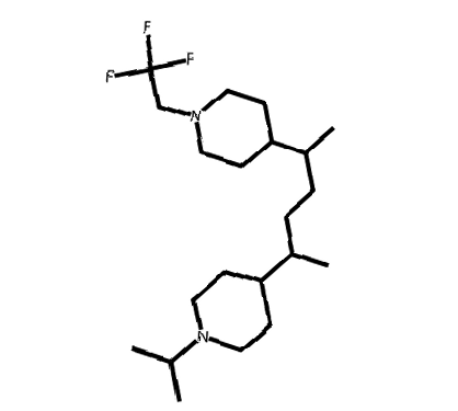 CC(CCC(C)C1CCN(C(C)C)CC1)C1CCN(CC(F)(F)F)CC1